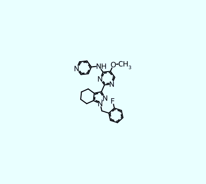 COc1cnc(-c2nn(Cc3ccccc3F)c3c2CCCC3)nc1Nc1ccncc1